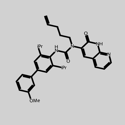 C=CCCCN(C(=O)Nc1c(C(C)C)cc(-c2cccc(OC)c2)cc1C(C)C)c1cc2cccnc2[nH]c1=O